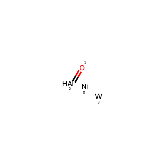 [Ni].[O]=[AlH].[W]